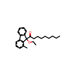 CCCCCCCCC(=O)C1(OCC)c2ccccc2-c2cccc(C)c21